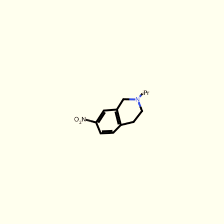 CC(C)N1CCc2ccc([N+](=O)[O-])cc2C1